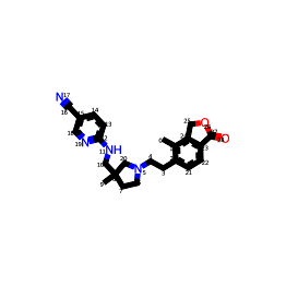 Cc1c(CCN2CCC(C)(CNc3ccc(C#N)cn3)C2)ccc2c1COC2=O